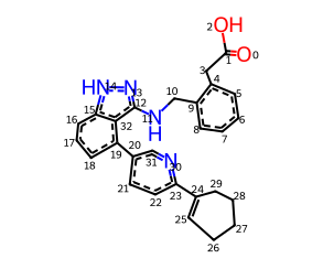 O=C(O)Cc1ccccc1CNc1n[nH]c2cccc(-c3ccc(C4=CCCCC4)nc3)c12